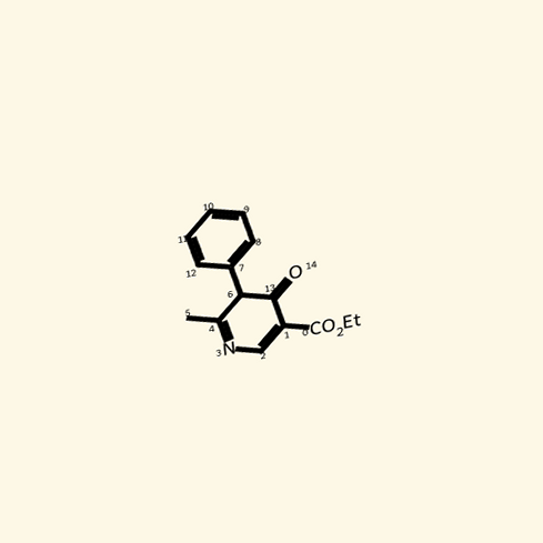 CCOC(=O)C1=CN=C(C)C(c2ccccc2)C1=O